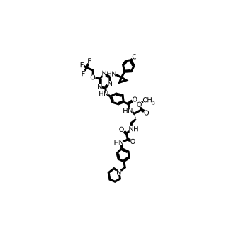 COC(=O)[C@H](CCNC(=O)C(=O)Nc1ccc(CN2CCCCC2)cc1)NC(=O)c1ccc(Nc2nc(NC3(c4ccc(Cl)cc4)CC3)nc(OCC(F)(F)F)n2)cc1